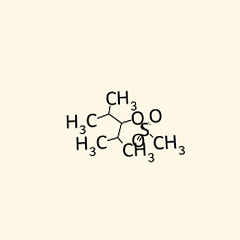 CC(C)C(OS(C)(=O)=O)C(C)C